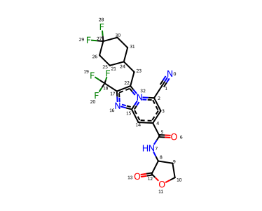 N#Cc1cc(C(=O)NC2CCOC2=O)cc2nc(C(F)(F)F)c(CC3CCC(F)(F)CC3)n12